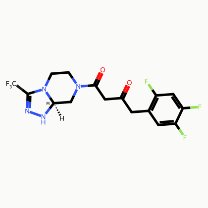 O=C(CC(=O)N1CCN2C(C(F)(F)F)=NN[C@@H]2C1)Cc1cc(F)c(F)cc1F